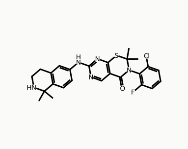 CC1(C)NCCc2cc(Nc3ncc4c(n3)SC(C)(C)N(c3c(F)cccc3Cl)C4=O)ccc21